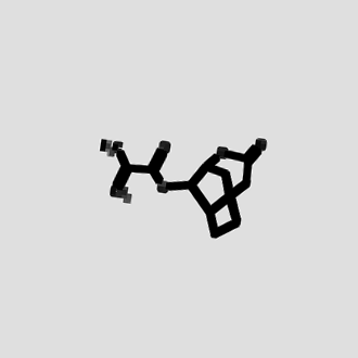 C=C(C)C(=O)OC1C2OC(=O)CC34C1CC3C24